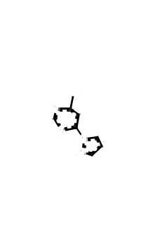 CC(C)c1cc(-n2cccn2)ncn1